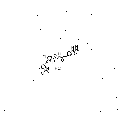 CNC(=O)Nc1ccc(C=CC(=O)NCC(=O)N(C)c2ccc(Cl)c(COc3cccn4c(Cl)c(C)nc34)c2Cl)cc1.Cl